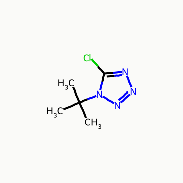 CC(C)(C)n1nnnc1Cl